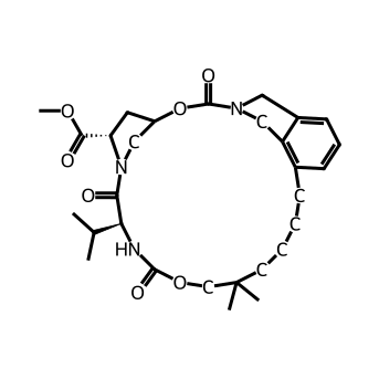 COC(=O)[C@@H]1CC2CN1C(=O)[C@H](C(C)C)NC(=O)OCC(C)(C)CCCCc1cccc3c1CN(C3)C(=O)O2